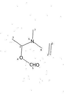 C=C.CC(OC=O)N(C)C